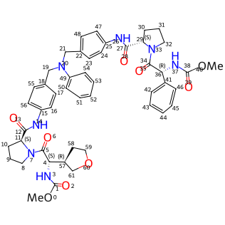 COC(=O)N[C@H](C(=O)N1CCC[C@H]1C(=O)Nc1ccc(CN(Cc2ccc(NC(=O)[C@@H]3CCCN3C(=O)[C@H](NC(=O)OC)c3ccccc3)cc2)c2ccccc2)cc1)[C@H]1CCOC1